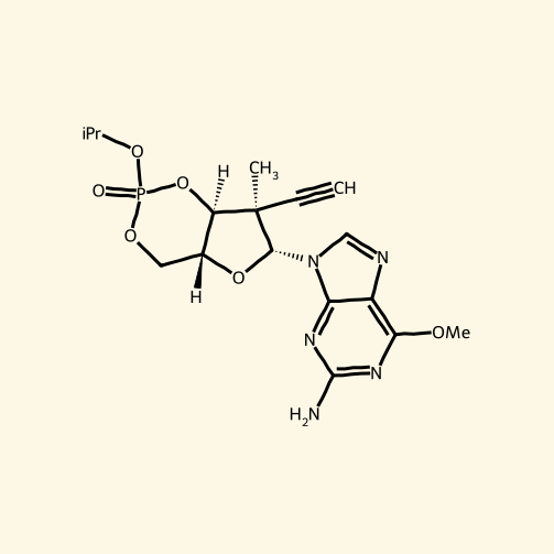 C#C[C@]1(C)[C@@H]2OP(=O)(OC(C)C)OC[C@H]2O[C@H]1n1cnc2c(OC)nc(N)nc21